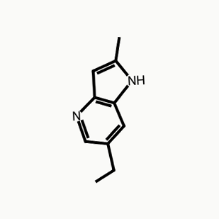 CCc1cnc2cc(C)[nH]c2c1